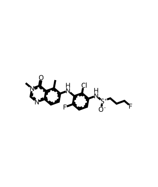 Cc1c(Nc2c(F)ccc(N[S+]([O-])CCCF)c2Cl)ccc2ncn(C)c(=O)c12